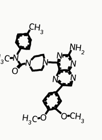 COc1ccc(-c2cnc3nc(N)nc(N4CCN(C(=O)N(C)c5ccc(C)cc5)CC4)c3n2)cc1OC